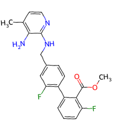 COC(=O)c1c(F)cccc1-c1ccc(CNc2nccc(C)c2N)cc1F